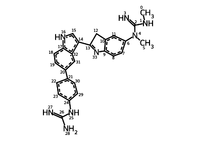 CNC(=N)N(C)c1ccc2c(c1)CC(c1c[nH]c3ccc(-c4ccc(NC(=N)N)cc4)cc13)=N2